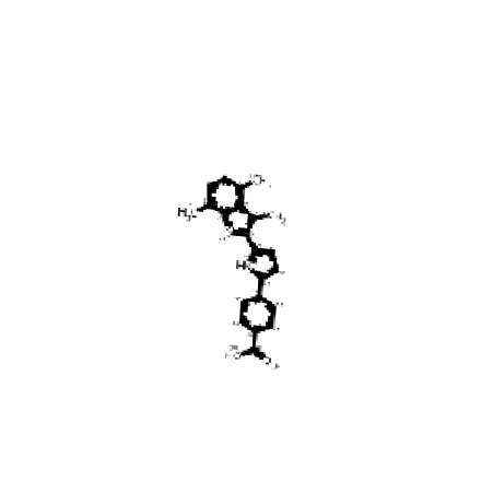 Cc1ccc(C)c2c(C)c(-c3ccc(-c4ccc(C(=O)O)cc4)[nH]3)sc12